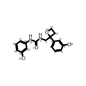 O=C(NCC1(c2cccc(Cl)c2)CCO1)Nc1cccc(Cl)c1